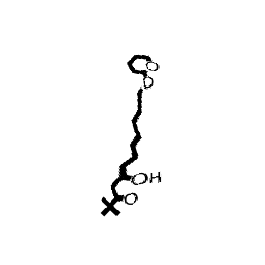 CC(C)(C)C(=O)CC(O)CCCCCCCOC1CCCCO1